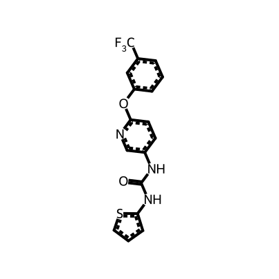 O=C(Nc1ccc(Oc2cccc(C(F)(F)F)c2)nc1)Nc1cccs1